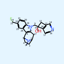 CN1C2CCC1c1c(n(CC3(O)Cc4cnccc43)c3ccc(CF)cc13)C2